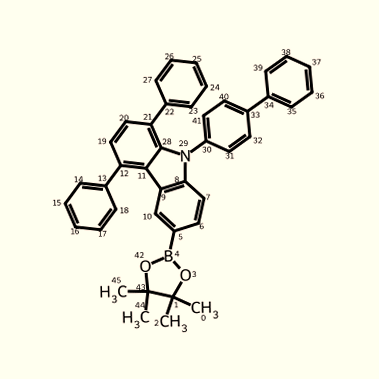 CC1(C)OB(c2ccc3c(c2)c2c(-c4ccccc4)ccc(-c4ccccc4)c2n3-c2ccc(-c3ccccc3)cc2)OC1(C)C